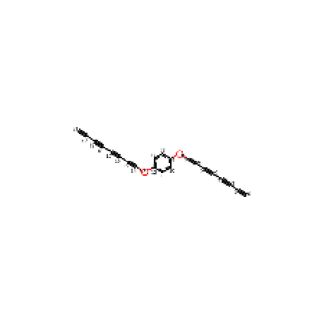 C#CC#CC#CC#COc1ccc(OC#CC#CC#CC#C)cc1